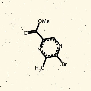 COC(=O)c1cnc(Br)c(C)n1